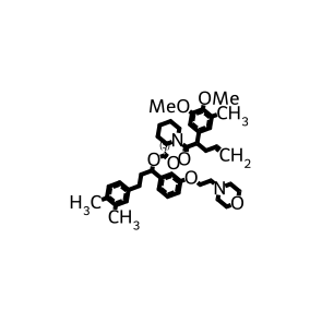 C=CCC(C(=O)N1CCCC[C@H]1C(=O)OC(CCc1ccc(C)c(C)c1)c1cccc(OCCN2CCOCC2)c1)c1cc(C)c(OC)c(OC)c1